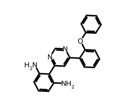 Nc1cccc(N)c1-c1cc(-c2ccccc2Oc2ccccc2)ncn1